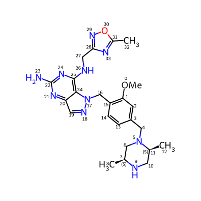 COc1cc(CN2C[C@H](C)NC[C@@H]2C)ccc1Cn1ncc2nc(N)nc(NCc3noc(C)n3)c21